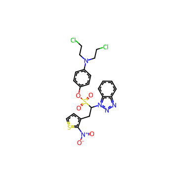 O=[N+]([O-])c1sccc1CC(n1nnc2ccccc21)S(=O)(=O)Oc1ccc(N(CCCl)CCCl)cc1